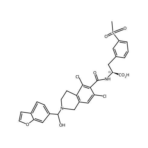 CS(=O)(=O)c1cccc(C[C@H](NC(=O)c2c(Cl)cc3c(c2Cl)CCN(C(O)c2ccc4ccoc4c2)C3)C(=O)O)c1